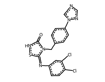 O=c1[nH]sc(=Nc2ccc(Cl)c(Cl)c2)n1Cc1ccc(-n2cncn2)cc1